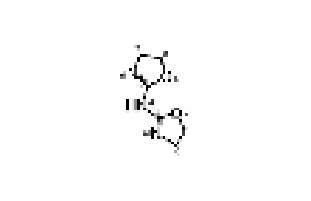 C1COC(NC2=NCCO2)=N1